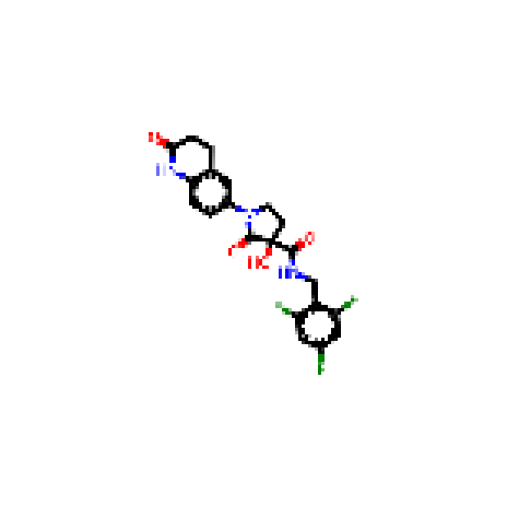 O=C1CCc2cc(N3CCC(O)(C(=O)NCc4c(F)cc(F)cc4F)C3=O)ccc2N1